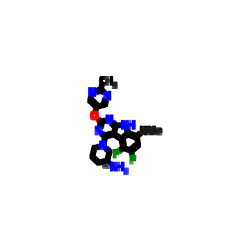 CNc1cc(F)c(F)c2c1[nH]c1nc(Oc3cnc(C)nc3)nc(N3CCC[C@@H](N)C3)c12